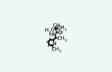 Cc1cccc([C@@H](C)N[S+]([O-])C(C)(C)C)n1